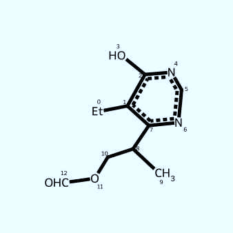 CCc1c(O)ncnc1C(C)COC=O